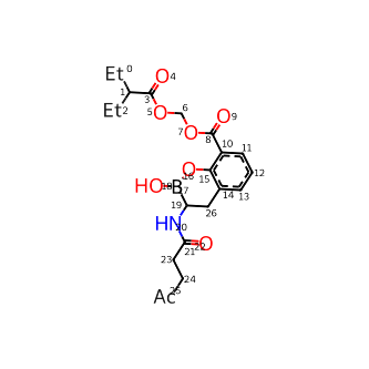 CCC(CC)C(=O)OCOC(=O)c1cccc2c1OB(O)C(NC(=O)CCC(C)=O)C2